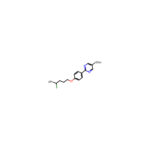 CCCCCCCCCCc1cnc(-c2ccc(OCCCC(F)CCC)cc2)nc1